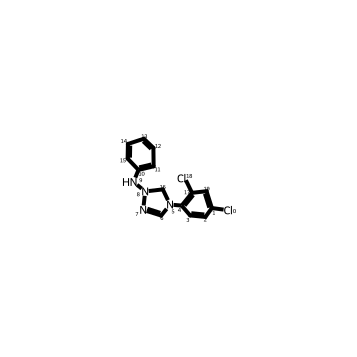 Clc1ccc(N2C=NN(Nc3ccccc3)C2)c(Cl)c1